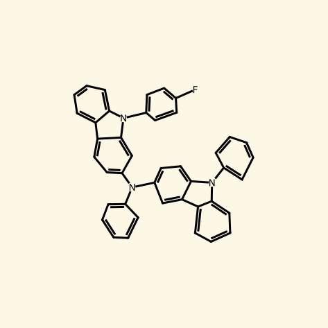 Fc1ccc(-n2c3ccccc3c3ccc(N(c4ccccc4)c4ccc5c(c4)c4ccccc4n5-c4ccccc4)cc32)cc1